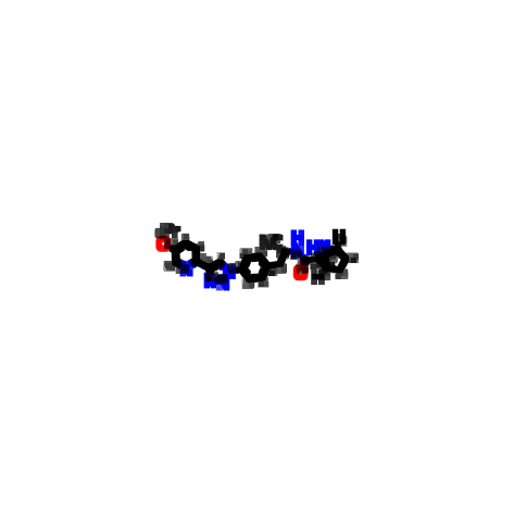 CC(C)Oc1ccc(-c2cn(-c3ccc(C[C@@H](C#N)NC(=O)[C@H]4N[C@@H]5CC[C@H]4C5)cc3)nn2)nc1